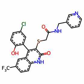 O=C(CSc1c(-c2cc(Cl)ccc2O)c2cc(C(F)(F)F)ccc2[nH]c1=O)NCc1cccnc1